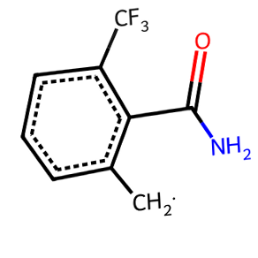 [CH2]c1cccc(C(F)(F)F)c1C(N)=O